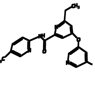 CCc1cc(Oc2cncc(F)c2)cc(C(=O)Nc2ccc(C)cn2)n1